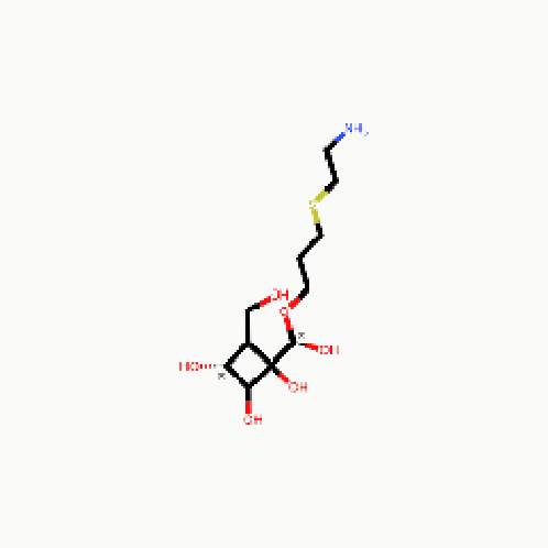 NCCSCCCO[C@@H](O)C1(O)C(O)[C@H](O)C1CO